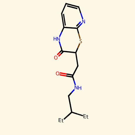 CCC(CC)CNC(=O)CC1Sc2ncccc2NC1=O